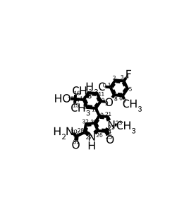 Cc1cc(F)cc(C)c1Oc1ccc(C(C)(C)O)cc1-c1cn(C)c(=O)c2[nH]c(C(N)=O)cc12